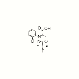 O=C(O)C1COC(C(F)(F)F)=NN1c1ccccc1Cl